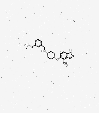 COc1cccc(CN[C@H]2CC[C@@H](Oc3ccc4[nH]ncc4c3C)CC2)c1